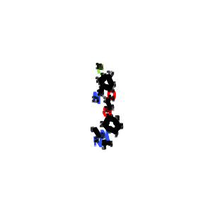 Cc1nccn1-c1cccc(OCCOc2ccc(F)cc2C#N)c1